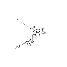 CCCCCCCCCCC(=O)Oc1ccc(C(=O)O)c(F)c1-c1ccc(C(=O)O[C@H](CCCCCOCC)C(F)(F)F)cc1